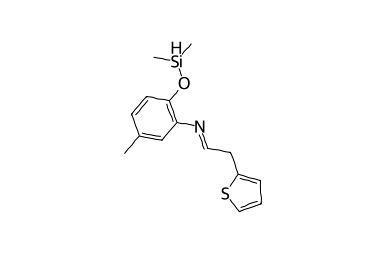 Cc1ccc(O[SiH](C)C)c(N=CCc2cccs2)c1